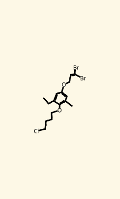 CCc1cc(OCC=C(Br)Br)cc(C)c1OCCCCCl